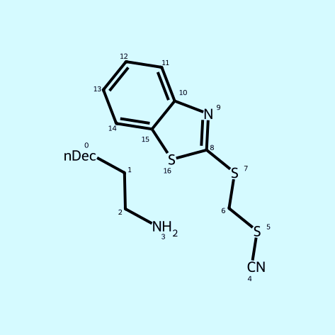 CCCCCCCCCCCCN.N#CSCSc1nc2ccccc2s1